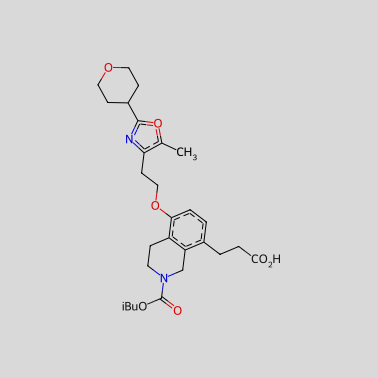 Cc1oc(C2CCOCC2)nc1CCOc1ccc(CCC(=O)O)c2c1CCN(C(=O)OCC(C)C)C2